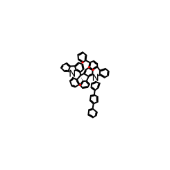 c1ccc(-c2ccc(-c3ccc(N(c4ccccc4-c4ccc(-c5ccccc5)cc4)c4cccc5c4-c4ccccc4[C@@]54c5ccccc5-n5c6ccccc6c6cccc4c65)cc3)cc2)cc1